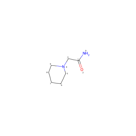 NC(=O)[CH]N1CCCCC1